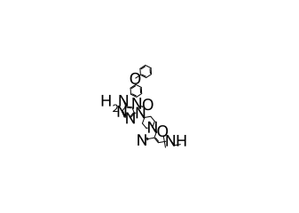 CCNC(C)(C)/C=C(/C#N)C(=O)N1CCC(n2c(=O)n(-c3ccc(Oc4ccccc4)cc3)c3c(N)ncnc32)CC1